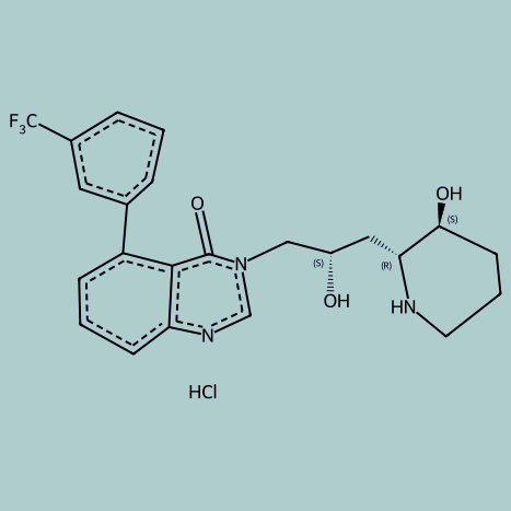 Cl.O=c1c2c(-c3cccc(C(F)(F)F)c3)cccc2ncn1C[C@@H](O)C[C@H]1NCCC[C@@H]1O